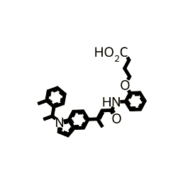 C/C(=C\C(=O)Nc1ccccc1OCCCC(=O)O)c1ccc2c(ccn2C(C)c2ccccc2C)c1